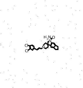 NC(=O)N1CC2(CCN(CC=Cc3ccc(Cl)c(Cl)c3)CC2)c2cc3c(cc21)CCC3